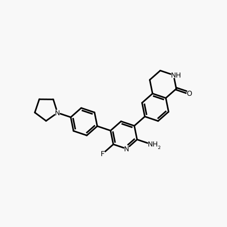 Nc1nc(F)c(-c2ccc(N3CCCC3)cc2)cc1-c1ccc2c(c1)CCNC2=O